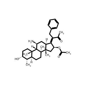 CC(=O)O[C@H]1C[C@@]2(C)[C@@H](C[C@H](N)[C@H]3[C@@]4(C)CC[C@@H](O)[C@@H](C)[C@@H]4CC[C@@]32C)/C1=C(\Cc1ccccc1)C(C)=O